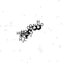 CCC(C)(C[C@H]1O[C@@H](n2cc3ccc(=O)[nH]c3nc2=O)[C@@H](O)C1O)OP(=O)(O)O